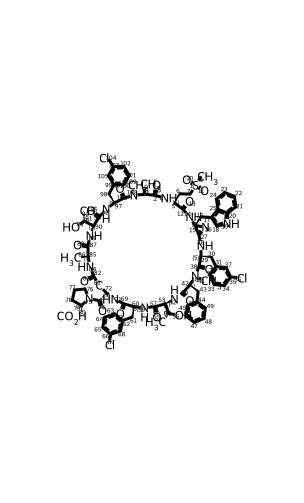 CC1C(=O)N[C@@H](CCS(C)(=O)=O)C(=O)N[C@]2(Cc3c[nH]c4ccccc34)N=C2N[C@@H](Cc2cccc(Cl)c2)C(=O)N(C)[C@@H](Cc2ccccc2)C(=O)N[C@@H]([C@@H](C)O)C(=O)N[C@@H](Cc2cccc(Cl)c2)C(=O)N[C@H](C(=O)N2CCC[C@H]2C(=O)O)CC(=O)N[C@@H](C)C(=O)N[C@@H]([C@@H](C)O)C(=O)N[C@@H](Cc2cccc(Cl)c2)C(=O)N1C